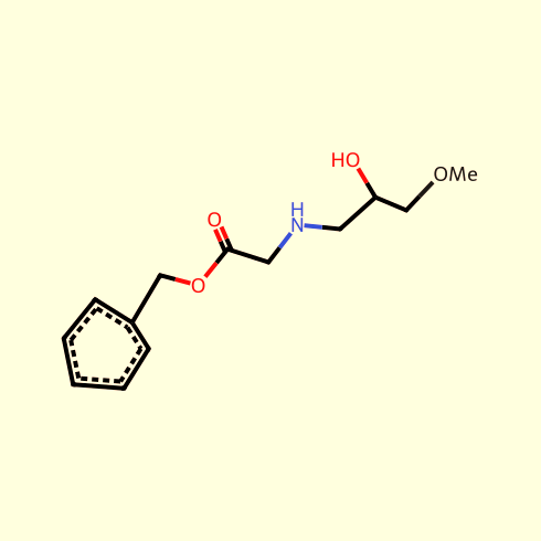 COCC(O)CNCC(=O)OCc1ccccc1